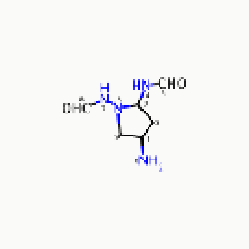 NC1CC(NC=O)N(NC=O)C1